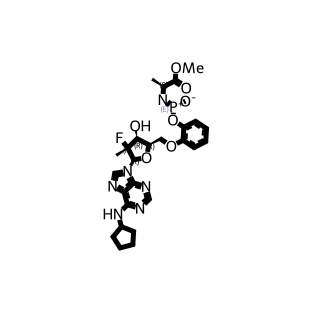 COC(=O)[C@H](C)/N=[P+](\[O-])Oc1ccccc1OC[C@H]1O[C@@H](n2cnc3c(NC4CCCC4)ncnc32)[C@](C)(F)[C@@H]1O